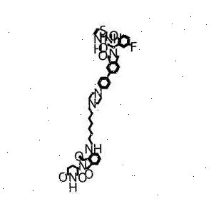 O=C1CCC(N2C(=O)c3cccc(NCCCCCCCCN4CCN(c5ccc(-c6ccc7c(c6)C(=O)N(C(C(=O)NC6NC=CS6)c6cc(F)ccc6O)C7)cc5)CC4)c3C2=O)C(=O)N1